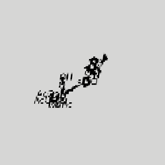 CC(=O)OC1O[C@H](C(=O)N(CCCCCSc2ccc(Cl)c(COC3(c4cnccc4-c4ccccc4OC4CC4)CC3)c2)CCOCCO)[C@@H](OC(C)=O)[C@H](OC(C)=O)[C@H]1OC(C)=O